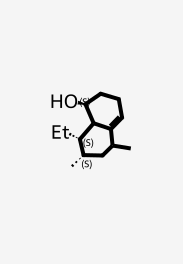 CC[C@@H]1C2C(=CCC[C@@H]2O)C(C)C[C@@H]1C